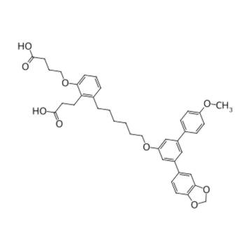 COc1ccc(-c2cc(OCCCCCCc3cccc(OCCCC(=O)O)c3CCC(=O)O)cc(-c3ccc4c(c3)OCO4)c2)cc1